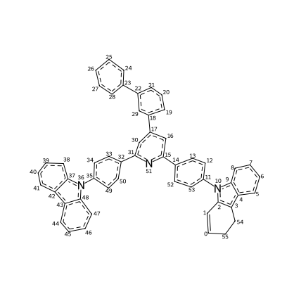 C1=Cc2c(c3ccccc3n2-c2ccc(-c3cc(-c4cccc(-c5ccccc5)c4)cc(-c4ccc(-n5c6ccccc6c6ccccc65)cc4)n3)cc2)CC1